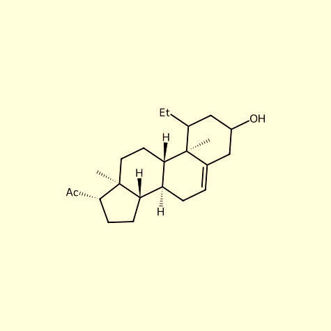 CCC1CC(O)CC2=CC[C@H]3[C@@H]4CC[C@H](C(C)=O)[C@@]4(C)CC[C@@H]3[C@]21C